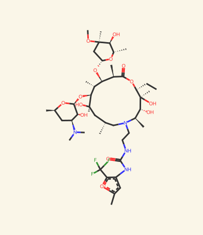 CC[C@H]1OC(=O)[C@H](C)[C@H](O[C@@H]2C[C@@](C)(OC)[C@@H](O)[C@H](C)O2)[C@@H](C)[C@H](O[C@@H]2O[C@H](C)C[C@H](N(C)C)[C@H]2O)[C@](C)(O)C[C@@H](C)CN(CCNC(=O)Nc2cc(C)oc2C(F)(F)F)[C@H](C)[C@@H](O)[C@]1(C)O